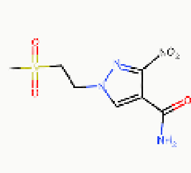 CS(=O)(=O)CCn1cc(C(N)=O)c([N+](=O)[O-])n1